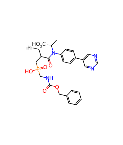 CC(C)CC(CP(=O)(O)CNC(=O)OCc1ccccc1)C(=O)N(c1ccc(-c2cncnc2)cc1)[C@@H](C)C(=O)O